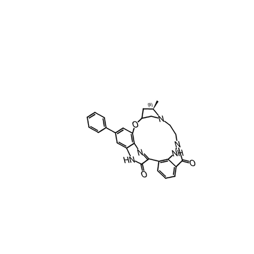 C[C@@H]1CC2CN1CCn1[nH]c3c(cccc3c1=O)-c1nc3c(cc(-c4ccccc4)cc3[nH]c1=O)O2